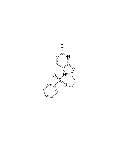 O=S(=O)(c1ccccc1)n1c(CCl)cc2nc(Cl)ccc21